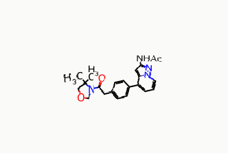 CC(=O)Nc1cc2c(-c3ccc(CC(=O)N4COCC4(C)C)cc3)cccn2n1